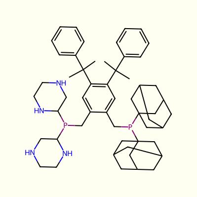 CC(C)(c1ccccc1)c1cc(CP(C2CNCCN2)C2CNCCN2)c(CP(C23CC4CC(CC(C4)C2)C3)C23CC4CC(CC(C4)C2)C3)cc1C(C)(C)c1ccccc1